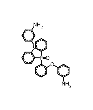 Nc1cccc(Oc2ccccc2P(=O)(c2ccccc2)c2ccccc2Oc2cccc(N)c2)c1